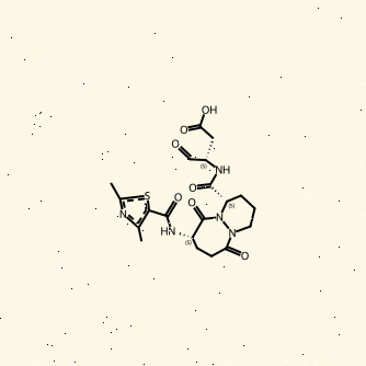 Cc1nc(C)c(C(=O)N[C@H]2CCC(=O)N3CCC[C@@H](C(=O)N[C@H](C=O)CC(=O)O)N3C2=O)s1